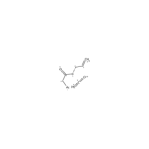 C=CCOC(=O)CC(C)=O.N=C=O